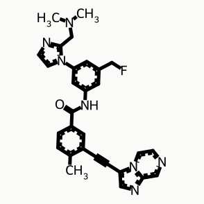 Cc1ccc(C(=O)Nc2cc(CF)cc(-n3ccnc3CN(C)C)c2)cc1C#Cc1cnc2cnccn12